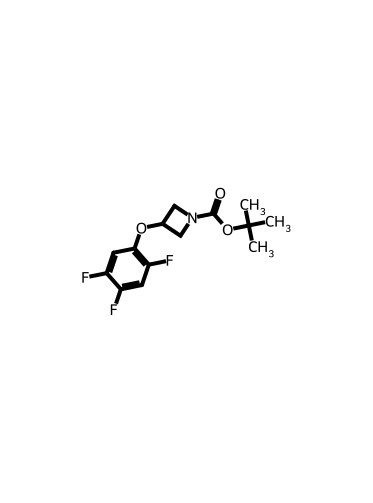 CC(C)(C)OC(=O)N1CC(Oc2cc(F)c(F)cc2F)C1